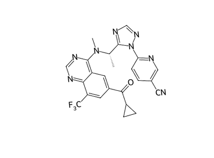 C[C@@H](c1ncnn1-c1ccc(C#N)cn1)N(C)c1ncnc2c(C(F)(F)F)cc(C(=O)C3CC3)cc12